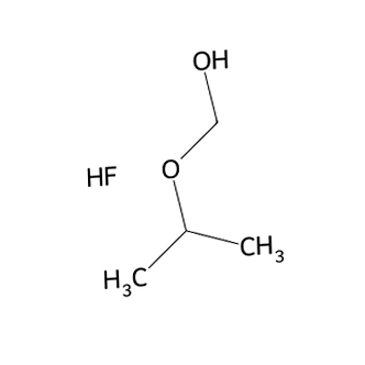 CC(C)OCO.F